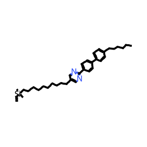 C=C[Si](C)(C)CCCCCCCCCCc1cnc(-c2ccc(-c3ccc(CCCCCC)cc3)cc2)nc1